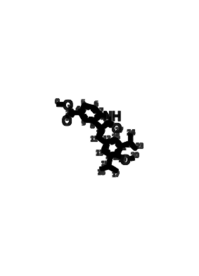 COC(=O)c1ccc2c(c1)C(=Cc1cc(C(C)C)c(OC)c(C(C)C)c1)C(=O)N2